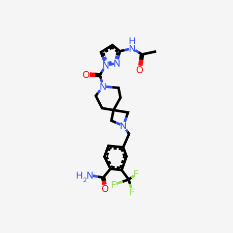 CC(=O)Nc1ccn(C(=O)N2CCC3(CC2)CN(Cc2ccc(C(N)=O)c(C(F)(F)F)c2)C3)n1